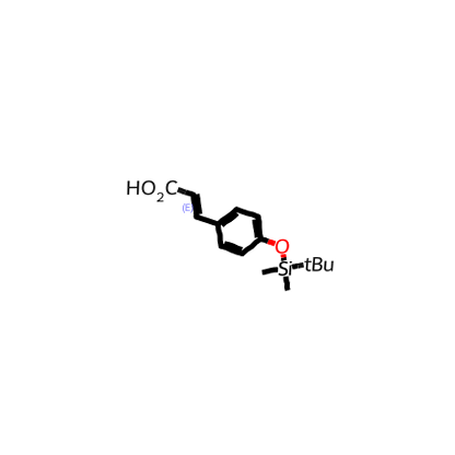 CC(C)(C)[Si](C)(C)Oc1ccc(/C=C/C(=O)O)cc1